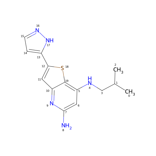 CC(C)CNc1cc(N)nc2cc(-c3ccn[nH]3)sc12